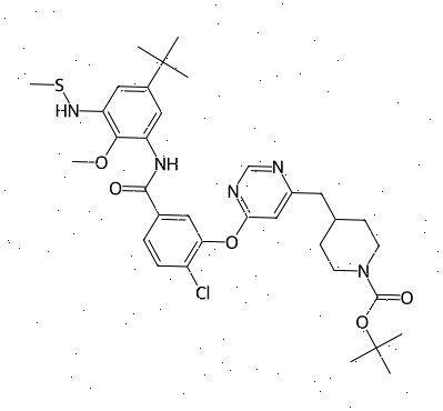 COc1c(NSC)cc(C(C)(C)C)cc1NC(=O)c1ccc(Cl)c(Oc2cc(CC3CCN(C(=O)OC(C)(C)C)CC3)ncn2)c1